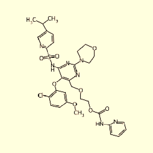 COc1ccc(Cl)c(Oc2c(COCCOC(=O)Nc3ccccn3)nc(N3CCOCC3)nc2NS(=O)(=O)c2ccc(C(C)C)cn2)c1